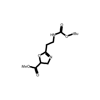 COC(=O)C1CN=C(CCNC(=O)OC(C)(C)C)O1